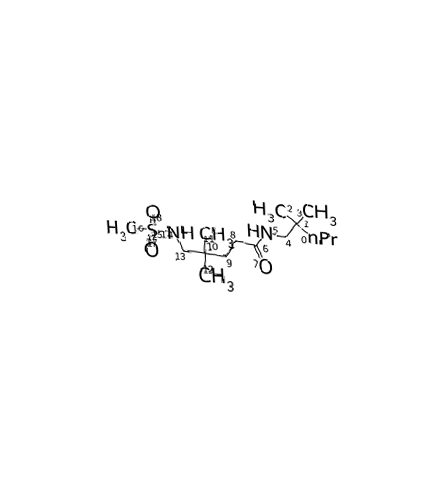 CCCC(C)(C)CNC(=O)CCC(C)(C)CNS(C)(=O)=O